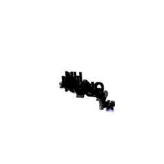 C/C=C\C(C)(C)CCC(C)(C)OCCOP(=O)(CO[C@H](C)Cn1cnc2c(N)nc(C)nc21)N=O